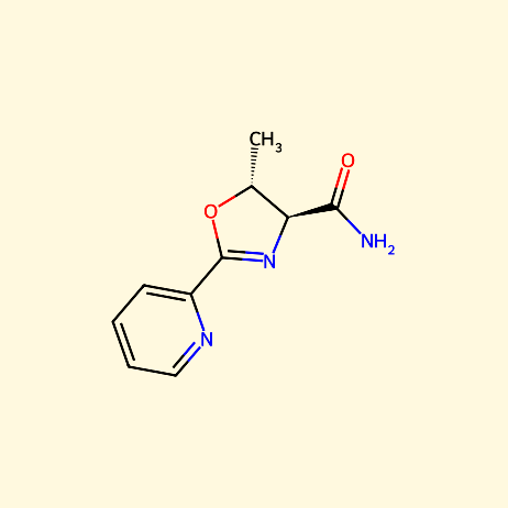 C[C@H]1OC(c2ccccn2)=N[C@@H]1C(N)=O